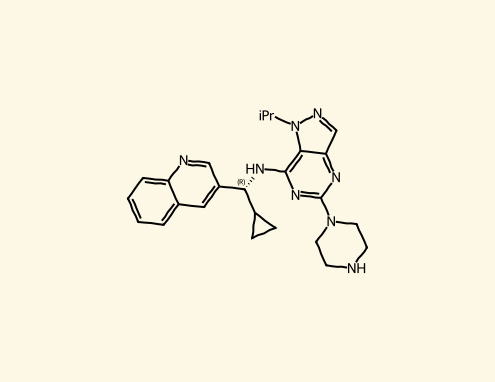 CC(C)n1ncc2nc(N3CCNCC3)nc(N[C@@H](c3cnc4ccccc4c3)C3CC3)c21